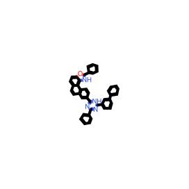 c1ccc(C2=NC(c3cccc(-c4ccccc4)c3)NC(c3ccc4c(ccc5ccc6c(c54)NC(c4ccccc4)O6)c3)=N2)cc1